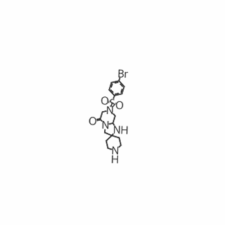 O=C1CN(S(=O)(=O)c2ccc(Br)cc2)CC2NC3(CCNCC3)CN12